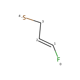 FC=CC[S]